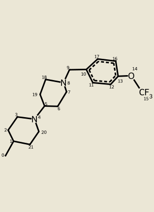 CC1CCN(C2CCN(Cc3ccc(OC(F)(F)F)cc3)CC2)CC1